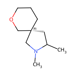 CC1C[C@]2(CCCOC2)CN1C